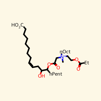 CCCCCCCC[N+](C)(CCOC(=O)CC)CC(=O)OC(CCCCC)C(O)C/C=C\CCCCCCCC(=O)O